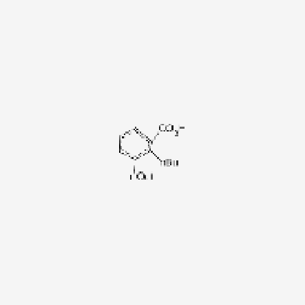 CCCCCCCCc1cccc(C(=O)O)c1CCCC